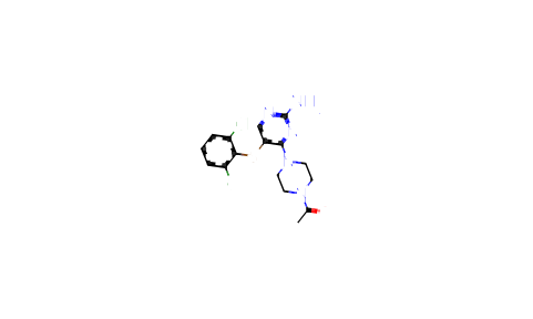 CC(=O)N1CCN(c2nc(N)ncc2Sc2c(Cl)cccc2Cl)CC1